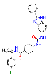 C[C@@H](NC(=O)C1CCC(NC(=O)Nc2ccc3[nH]c(-c4ccccc4)nc3c2)CC1)c1ccc(F)cc1